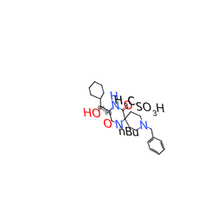 CCCCN1C(=O)[C@@H]([C@H](O)C2CCCCC2)NC(=O)C12CCN(Cc1ccccc1)CC2.CS(=O)(=O)O